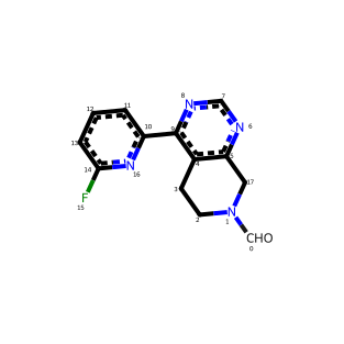 O=CN1CCc2c(ncnc2-c2cccc(F)n2)C1